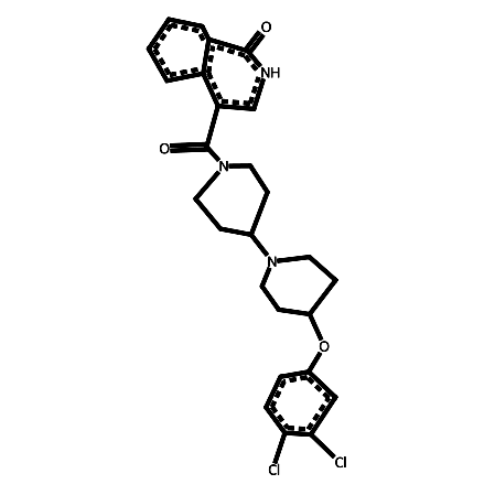 O=C(c1c[nH]c(=O)c2ccccc12)N1CCC(N2CCC(Oc3ccc(Cl)c(Cl)c3)CC2)CC1